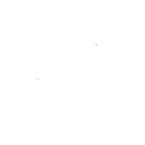 CC1(C)c2ccccc2-c2ccc(N(c3ccccc3)c3ccc(-c4cccc(N(c5ccccc5)c5ccc6c(c5)C(C)(C)c5ccccc5-6)c4)cc3)cc21